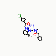 CCc1cccc2c1n(CCN(C)C(=O)Cc1ccccc1)c(=N)n2CC(=O)c1ccc(Cl)cc1